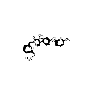 COc1cccc(Cn2ncc3c4ccc(Oc5cccc(C)n5)cc4n(C)c3c2=O)n1